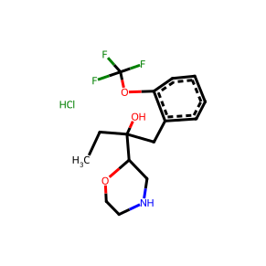 CCC(O)(Cc1ccccc1OC(F)(F)F)C1CNCCO1.Cl